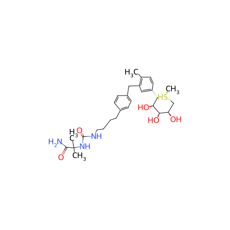 Cc1ccc([C@H]2[C@H](O)[C@H](O)[C@H](O)C[SH]2C)cc1Cc1ccc(CCCCNC(=O)NC(C)(C)C(N)=O)cc1